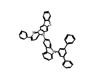 c1ccc(-c2cc(-c3ccccc3)cc(-n3c4ccccc4c4cc(-n5c6cc7sc8ccccc8c7cc6c6nc(-c7ccccc7)ccc65)ccc43)c2)cc1